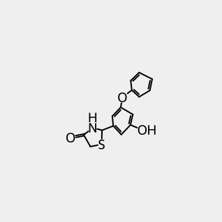 O=C1CSC(c2cc(O)cc(Oc3ccccc3)c2)N1